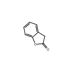 O=C1[C]c2ccccc2O1